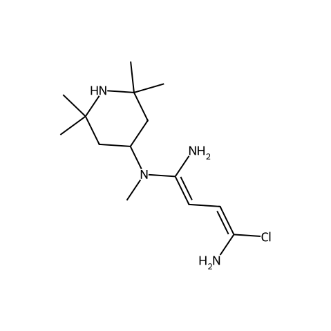 CN(/C(N)=C/C=C(\N)Cl)C1CC(C)(C)NC(C)(C)C1